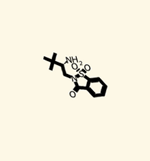 CC(C)(C)[C@H](N)CN1C(=O)c2ccccc2S1(=O)=O